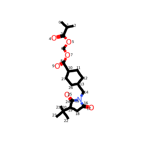 CC(C)C(=O)OCOC(=O)C1CCC(CN2C(=O)CC(C(C)(C)C)C2=O)CC1